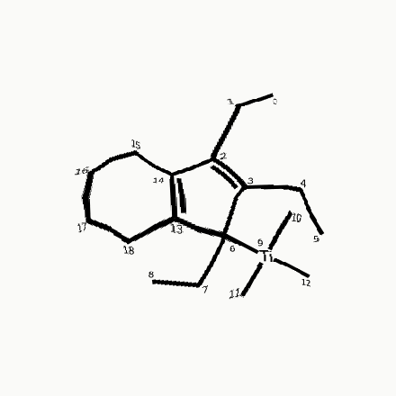 CCC1=C(CC)[C](CC)([Ti]([CH3])([CH3])[CH3])C2=C1CCCC2